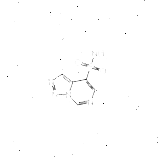 NS(=O)(=O)c1cncn2nncc12